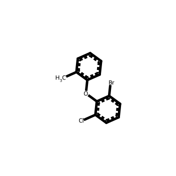 Cc1ccccc1Oc1c(Cl)cccc1Br